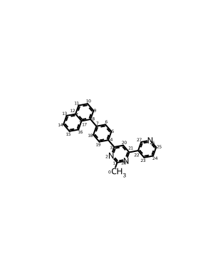 Cc1nc(-c2ccc(-c3cccc4ccccc34)cc2)cc(-c2cccnc2)n1